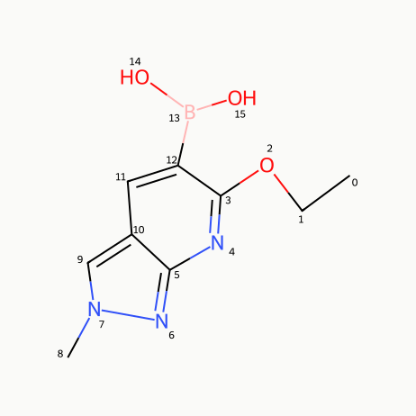 CCOc1nc2nn(C)cc2cc1B(O)O